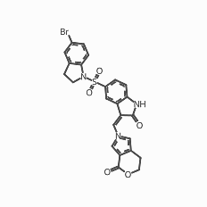 O=C1Nc2ccc(S(=O)(=O)N3CCc4cc(Br)ccc43)cc2C1=Cn1cc2c(c1)C(=O)OCC2